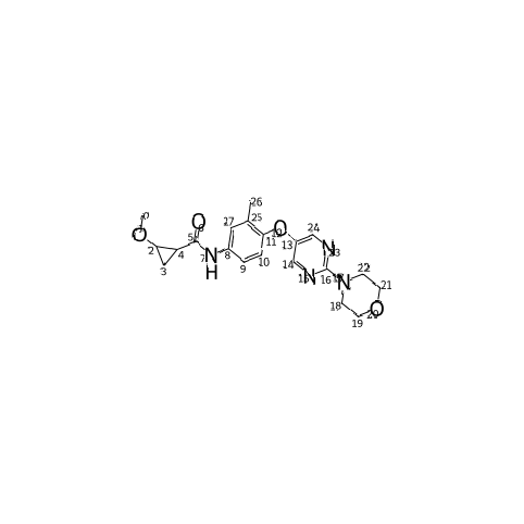 COC1CC1C(=O)Nc1ccc(Oc2cnc(N3CCOCC3)nc2)c(C)c1